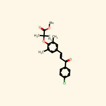 Cc1cc(/C=C/C(=O)c2ccc(Cl)cc2)cc(C)c1OC(C)(C)C(=O)OC(C)(C)C